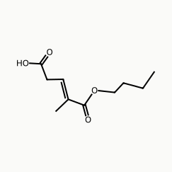 CCCCOC(=O)C(C)=CCC(=O)O